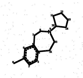 Cc1ccc2c(c1)CCN(C1CCCC1)CC2